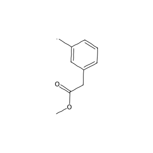 [CH2]c1cccc(CC(=O)OC)c1